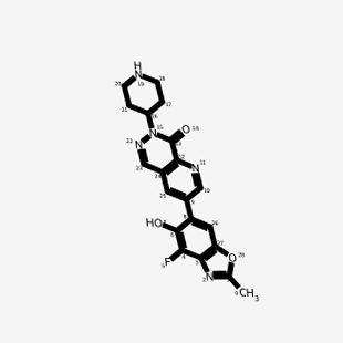 Cc1nc2c(F)c(O)c(-c3cnc4c(=O)n(C5CCNCC5)ncc4c3)cc2o1